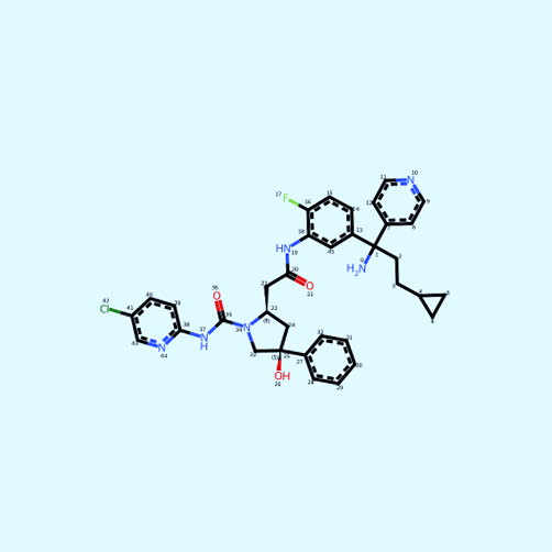 NC(CCC1CC1)(c1ccncc1)c1ccc(F)c(NC(=O)C[C@H]2C[C@](O)(c3ccccc3)CN2C(=O)Nc2ccc(Cl)cn2)c1